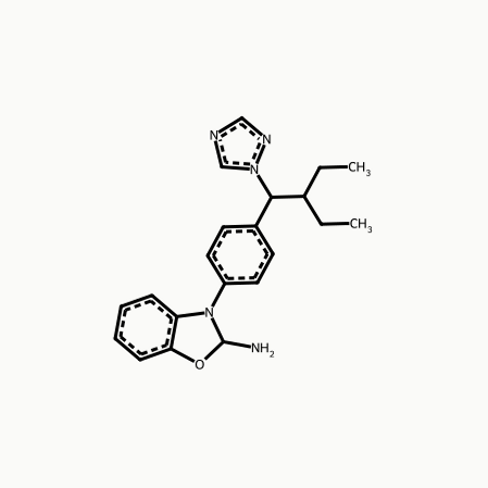 CCC(CC)C(c1ccc(N2c3ccccc3OC2N)cc1)n1cncn1